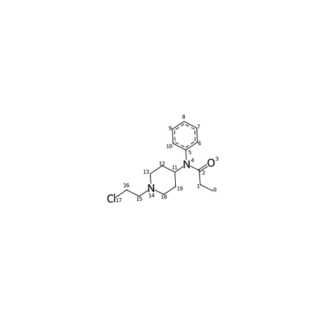 CCC(=O)N(c1ccccc1)C1CCN(CCCl)CC1